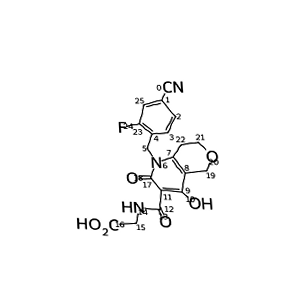 N#Cc1ccc(Cn2c3c(c(O)c(C(=O)NCC(=O)O)c2=O)COCC3)c(F)c1